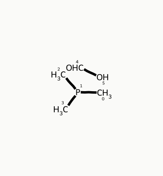 CP(C)C.O=CO